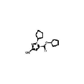 O=Nc1cc(C(=O)OC2CCCC2)n(C2CCCC2)n1